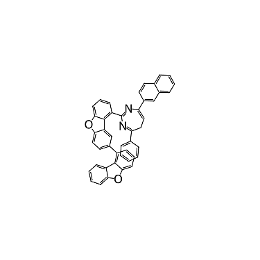 C1=C(c2ccc3ccccc3c2)N=C(c2cccc3oc4ccc(-c5cccc6oc7ccccc7c56)cc4c23)N=C(c2ccccc2)C1